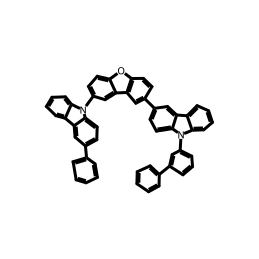 c1ccc(-c2cccc(-n3c4ccccc4c4cc(-c5ccc6oc7ccc(-n8c9ccccc9c9cc(-c%10ccccc%10)ccc98)cc7c6c5)ccc43)c2)cc1